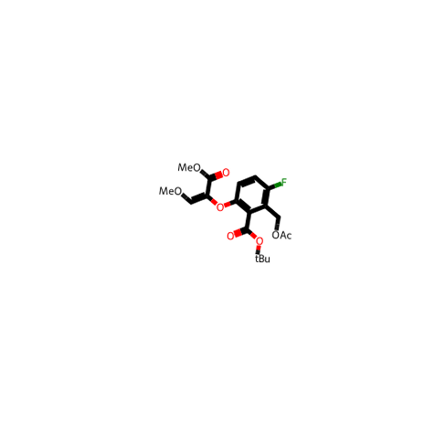 COC=C(Oc1ccc(F)c(COC(C)=O)c1C(=O)OC(C)(C)C)C(=O)OC